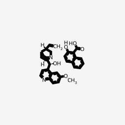 C=C[C@@H]1CN2CCC1C[C@@H]2[C@H](O)c1ccnc2ccc(OC)cc12.O=C(O)c1c(O)ccc2ccccc12